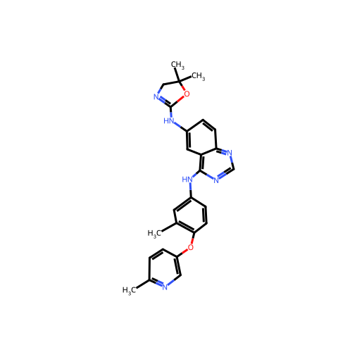 Cc1ccc(Oc2ccc(Nc3ncnc4ccc(NC5=NCC(C)(C)O5)cc34)cc2C)cn1